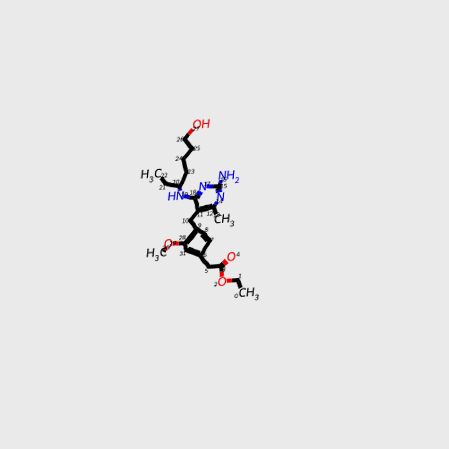 CCOC(=O)Cc1ccc(Cc2c(C)nc(N)nc2NC(CC)CCCCO)c(OC)c1